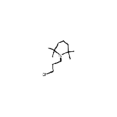 CC1(C)CCCC(C)(C)N1CCCCl